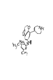 CC1=CC(C)(N)CC(Nc2cc3c(c(C4=CCNCCC4)c2)OCCO3)=N1